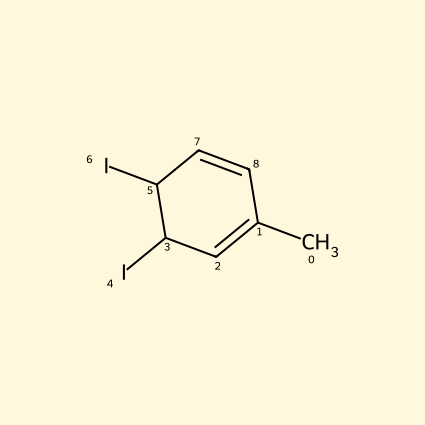 CC1=CC(I)C(I)C=C1